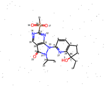 CC[C@@]1(O)CCc2ccc(-n3c4nc(S(C)(=O)=O)ncc4c(=O)n3C(C)C)nc21